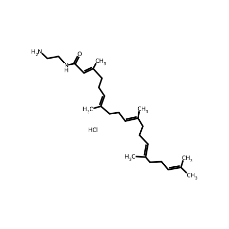 CC(C)=CCCC(C)=CCCC(C)=CCCC(C)=CCCC(C)=CC(=O)NCCN.Cl